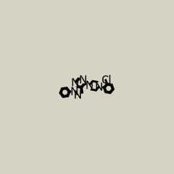 Clc1ccccc1N1CCN(c2ncnc3c2cnn3-c2ccccc2)CC1